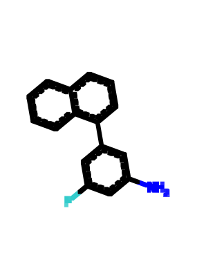 Nc1cc(F)cc(-c2cccc3ccccc23)c1